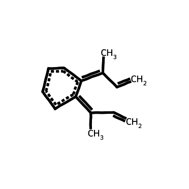 C=C/C(C)=c1/cccc/c1=C(\C)C=C